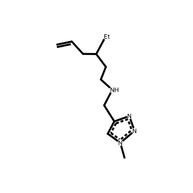 C=CCC(CC)CCNCc1cn(C)nn1